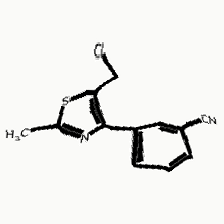 Cc1nc(-c2cccc(C#N)c2)c(CCl)s1